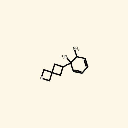 NC1C=CC=CC1(N)C1CC2(COC2)C1